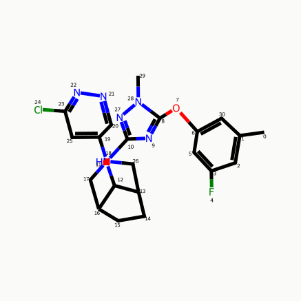 Cc1cc(F)cc(Oc2nc(NC3C4CCC3CN(c3cnnc(Cl)c3)C4)nn2C)c1